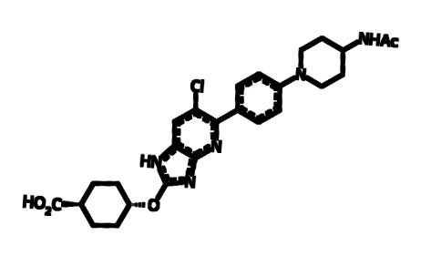 CC(=O)NC1CCN(c2ccc(-c3nc4nc(O[C@H]5CC[C@H](C(=O)O)CC5)[nH]c4cc3Cl)cc2)CC1